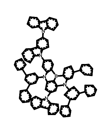 c1ccc(-c2cc(-c3ccccc3)cc(N3c4cc(-c5ccccc5)ccc4B4c5ccc(-n6c7ccccc7c7cc(-n8c9ccccc9c9ccccc98)ccc76)cc5N(c5cc(-c6ccccc6)cc(-c6ccccc6)c5)c5cc(-n6c7ccccc7c7ccccc76)cc3c54)c2)cc1